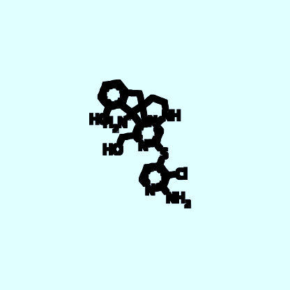 Nc1nccc(Sc2cnc([C@@]3(N)c4c(O)cccc4CC34CCNCC4)c(CO)n2)c1Cl